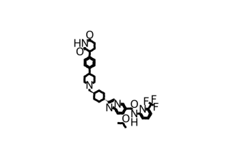 CC(C)Oc1cc2nc([C@H]3CC[C@H](CN4CCC(c5ccc(C6CCC(=O)NC6=O)cc5)CC4)CC3)cn2cc1C(=O)Nc1cccc(C(F)(F)F)n1